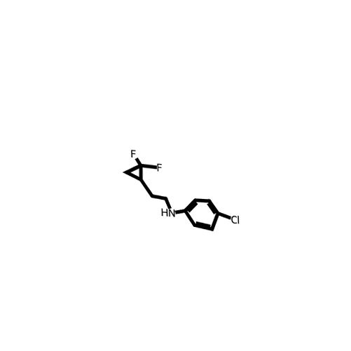 FC1(F)CC1CCNc1ccc(Cl)cc1